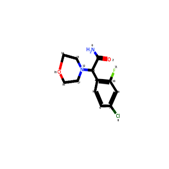 NC(=O)C(c1ccc(Cl)cc1F)N1CCOCC1